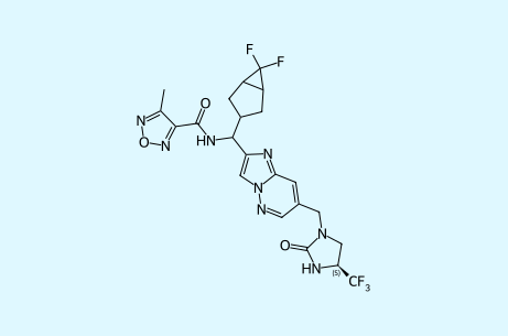 Cc1nonc1C(=O)NC(c1cn2ncc(CN3C[C@@H](C(F)(F)F)NC3=O)cc2n1)C1CC2C(C1)C2(F)F